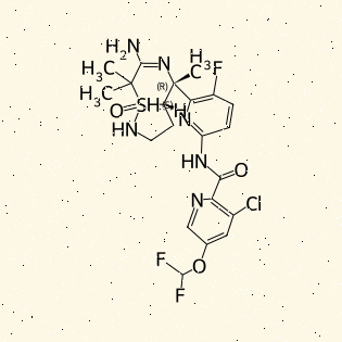 CC1(C)C(N)=N[C@](C)(c2nc(NC(=O)c3ncc(OC(F)F)cc3Cl)ccc2F)[C@@H]2CCN[SH]21=O